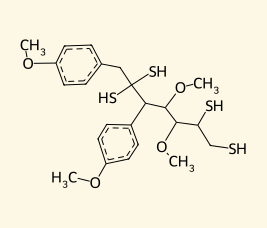 COc1ccc(CC(S)(S)C(c2ccc(OC)cc2)C(OC)C(OC)C(S)CS)cc1